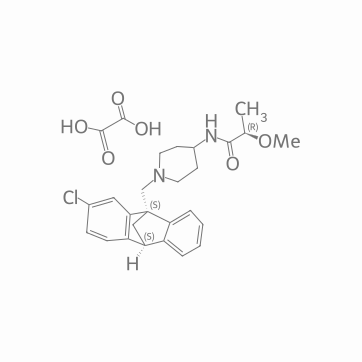 CO[C@H](C)C(=O)NC1CCN(C[C@@]23C[C@@H](c4ccccc42)c2ccc(Cl)cc23)CC1.O=C(O)C(=O)O